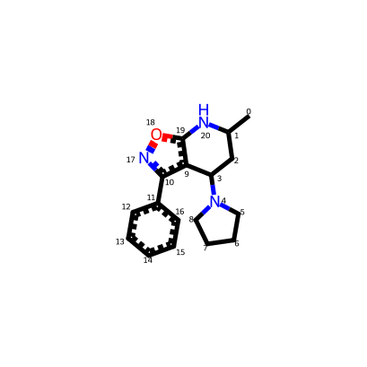 CC1CC(N2CCCC2)c2c(-c3ccccc3)noc2N1